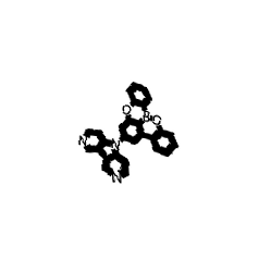 c1ccc2c(c1)Oc1cc(-n3c4ccncc4c4cnccc43)cc3c1B2Oc1ccccc1-3